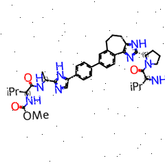 COC(=O)N[C@H](C(=O)N[C@@H](C)c1ncc(-c2ccc(-c3ccc4c(c3)CCCc3[nH]c([C@@H]5CCCN5C(=O)[C@@H](N)C(C)C)nc3-4)cc2)[nH]1)C(C)C